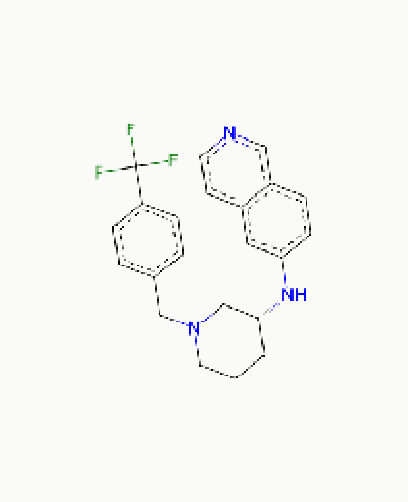 FC(F)(F)c1ccc(CN2CCC[C@@H](Nc3ccc4cnccc4c3)C2)cc1